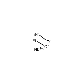 CC(C)[O-].CC[O-].[Nb+2]